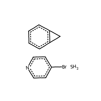 Brc1ccncc1.S.c1ccc2c(c1)C2